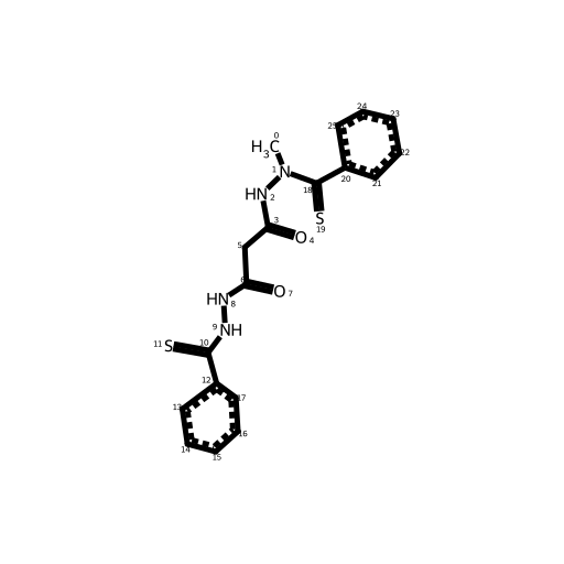 CN(NC(=O)CC(=O)NNC(=S)c1ccccc1)C(=S)c1ccccc1